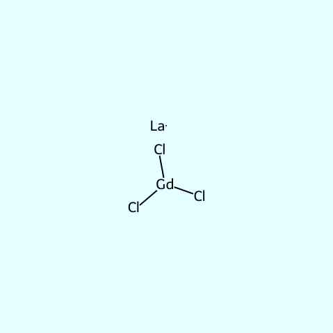 [Cl][Gd]([Cl])[Cl].[La]